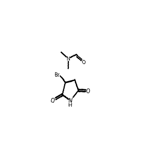 CN(C)C=O.O=C1CC(Br)C(=O)N1